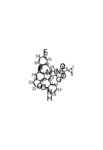 O=C(NS(=O)(=O)C1CC1)c1c(-c2ccc[nH]c2=O)c2c3occc3cc(F)c2n1Cc1cc(F)ccc1F